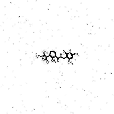 Cc1cc(C)c(CNC(=O)c2cccc(-c3c(C)nn(C)c3C)c2C)c(=O)[nH]1